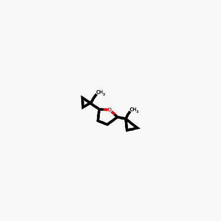 CC1(C2CCC(C3(C)CC3)O2)CC1